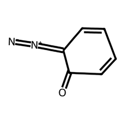 [N-]=[N+]=C1C=CC=CC1=O